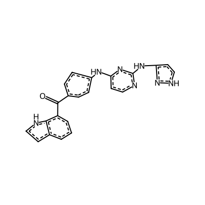 O=C(c1ccc(Nc2ccnc(Nc3cc[nH]n3)n2)cc1)c1cccc2cc[nH]c12